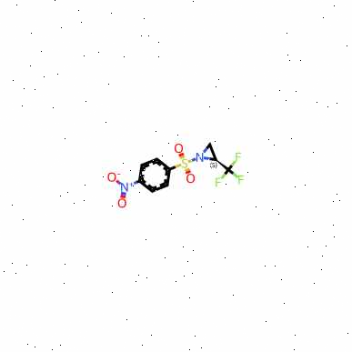 O=[N+]([O-])c1ccc(S(=O)(=O)N2C[C@H]2C(F)(F)F)cc1